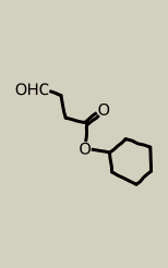 O=CCCC(=O)OC1CCCCC1